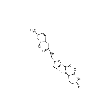 Cc1ccc(CC(=O)NCc2cc3c(s2)CN(C2CCC(=O)NC2=O)C3=O)c(Cl)c1